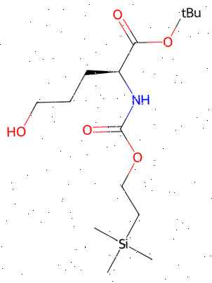 CC(C)(C)OC(=O)[C@H](CCCO)NC(=O)OCC[Si](C)(C)C